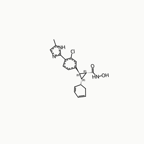 Cc1cnc(-c2ccc([C@H]3[C@H](C(=O)NO)[C@@H]3C3C=CC=CC3)cc2Cl)[nH]1